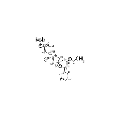 CCOC1CC(c2ccccc2)OC2(CCN(C(=O)c3cccc(OC(F)F)c3)CC2)C1